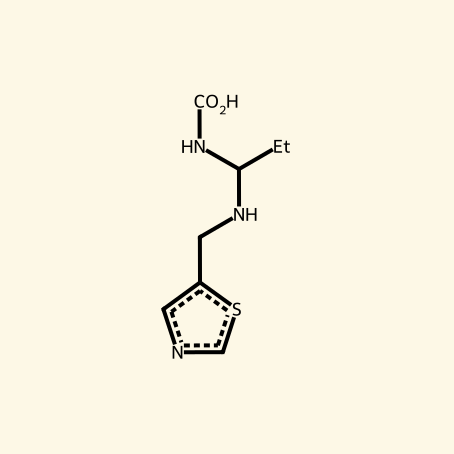 CCC(NCc1cncs1)NC(=O)O